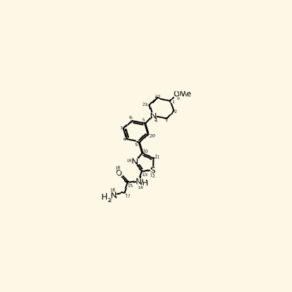 COC1CCN(c2cccc(-c3csc(NC(=O)CN)n3)c2)CC1